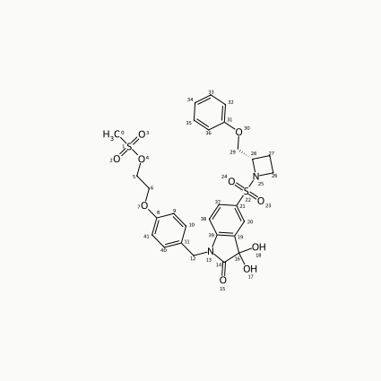 CS(=O)(=O)OCCOc1ccc(CN2C(=O)C(O)(O)c3cc(S(=O)(=O)N4CC[C@H]4COc4ccccc4)ccc32)cc1